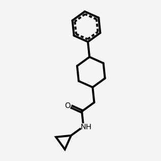 O=C(CC1CCC(c2ccccc2)CC1)NC1CC1